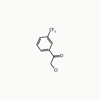 O=C(CCl)c1cccc(C(F)(F)F)c1